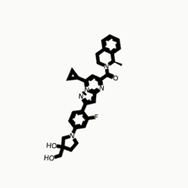 C[C@@H]1c2ccccc2CCN1C(=O)c1cc(C2CC2)n2nc(-c3ccc(N4CCC(O)(CO)C4)cc3F)cc2n1